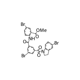 COC(=O)c1cc(Br)ccc1NC(=O)c1cc(Br)cc(S(=O)(=O)N2CCc3cc(Br)ccc32)c1